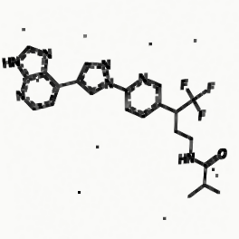 CC(C)C(=O)NCCC(c1ccc(-n2cc(-c3ccnc4[nH]cnc34)cn2)nc1)C(F)(F)F